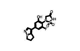 O=C1CN(c2c(O)cc(-c3cnn4c3CCC4)cc2F)S(=O)(=O)N1